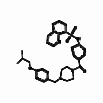 CC(C)COc1ccc(CN2CCN(C(=O)c3ccc(NS(=O)(=O)c4cccc5cccnc45)cc3)CC2)cc1